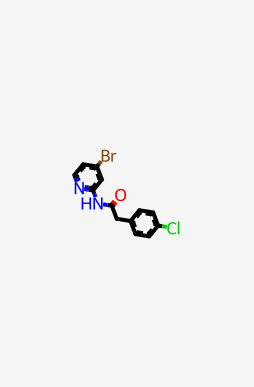 O=C(Cc1ccc(Cl)cc1)Nc1cc(Br)ccn1